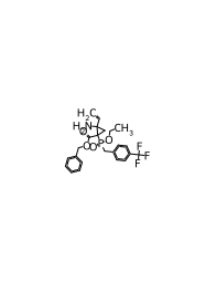 C=CC1(N)CC1(C(=O)OCc1ccccc1)P(=O)(Cc1ccc(C(F)(F)F)cc1)OCC